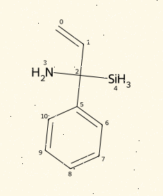 C=CC(N)([SiH3])c1cc[c]cc1